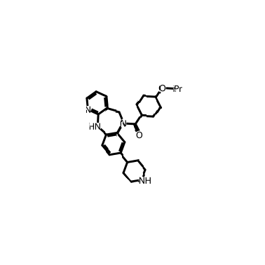 CC(C)OC1CCC(C(=O)N2Cc3cccnc3Nc3ccc(C4CCNCC4)cc32)CC1